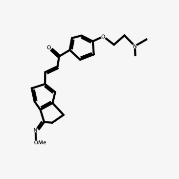 CON=C1CCc2cc(C=CC(=O)c3ccc(OCCN(C)C)cc3)ccc21